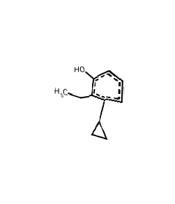 CCc1c(O)cccc1C1CC1